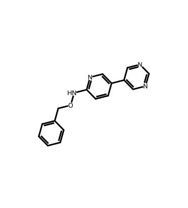 c1ccc(CONc2ccc(-c3cncnc3)cn2)cc1